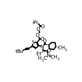 CC[C@@H](C(=O)N(C)C)N(c1cc(C#CC(C)(C)C)sc1C(=O)OCOC(=O)C(C)C)C(=O)[C@H]1CC[C@H](C)CC1